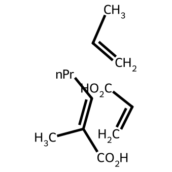 C=CC.C=CC(=O)O.CCCC=C(C)C(=O)O